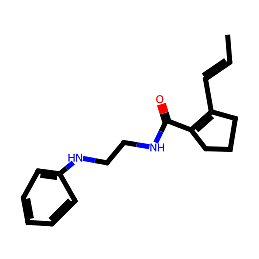 CC=CC1=C(C(=O)NCCNc2ccccc2)CCC1